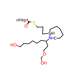 CCCCCCCC(=O)SCCC[SiH]1CCCCCCN1C(CCCCCCO)CCOCO